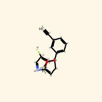 C#Cc1cccc(COC2=C\CC/C(C)=C(F)/C=N\2)c1